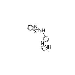 C[C@@H]1CS/C(=N/c2cccc(CCNc3nc4ccccc4s3)c2)N1